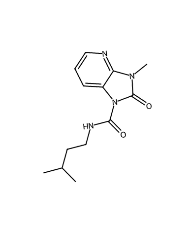 CC(C)CCNC(=O)n1c(=O)n(C)c2ncccc21